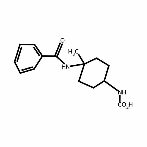 CC1(NC(=O)c2ccccc2)CCC(NC(=O)O)CC1